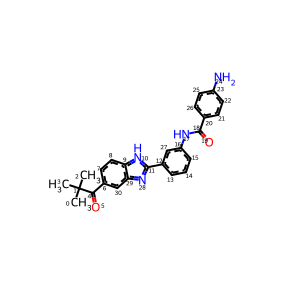 CC(C)(C)C(=O)c1ccc2[nH]c(-c3cccc(NC(=O)c4ccc(N)cc4)c3)nc2c1